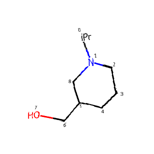 CC(C)N1CCCC(CO)C1